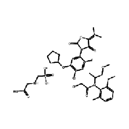 CC(C)=C1OC(=O)N(c2cc(OC3CCCC3)c(Cl)cc2F)C1=O.CCc1cccc(C)c1N(C(=O)CCl)C(C)COC.O=C(O)CNCP(=O)(O)O